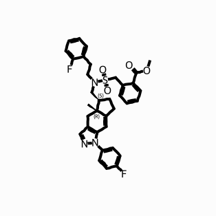 COC(=O)c1ccccc1CS(=O)(=O)N(CCc1ccccc1F)C[C@H]1CCC2=Cc3c(cnn3-c3ccc(F)cc3)C[C@@]21C